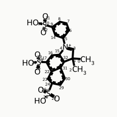 CC1(C)C=[N+](c2cccc(S(=O)(=O)O)c2)c2cc(S(=O)(=O)O)c3cc(S(=O)(=O)O)ccc3c21